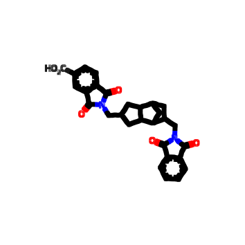 O=C(O)c1ccc2c(c1)C(=O)N(CC1CC3C4CC(CN5C(=O)c6ccccc6C5=O)C(C4)C3C1)C2=O